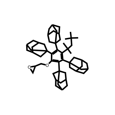 CC(C)(C)CC(C)(C)c1c(C23CC4CC(CC(C4)C2)C3)c(C23CC4CC(CC(C4)C2)C3)c(OCC2CO2)c(C23CC4CC(CC(C4)C2)C3)c1C12CC3CC(CC(C3)C1)C2